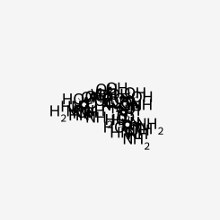 CNC1[C@H](OC2[C@H](O[C@@H]3C(O)[C@@H](O)C(NC(=N)N)C(O)[C@@H]3NC(=N)N)O[C@@H](C)[C@@]2(O)CNCCN(C)C2[C@H](OC3[C@H](O[C@@H]4C(O)[C@@H](O)C(NC(=N)N)C(O)[C@@H]4NC(=N)N)O[C@@H](C)[C@@]3(O)CO)OC(CO)[C@H](O)[C@@H]2O)OC(CO)[C@H](O)[C@@H]1O